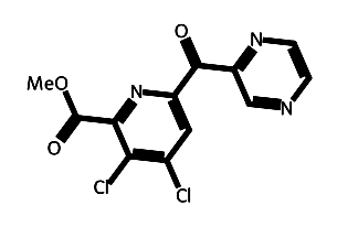 COC(=O)c1nc(C(=O)c2cnccn2)cc(Cl)c1Cl